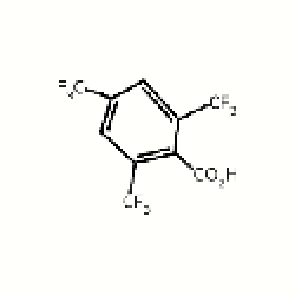 O=C(O)c1c(C(F)(F)F)cc(C(F)(F)F)cc1C(F)(F)F